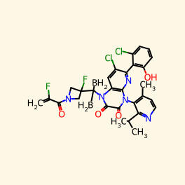 BC(B)(n1c(=O)c(=O)n(-c2c(C)ccnc2C(C)C)c2nc(-c3c(O)cccc3Cl)c(Cl)cc21)C1(F)CN(C(=O)C(=C)F)C1